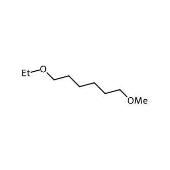 CCOCCCCCCOC